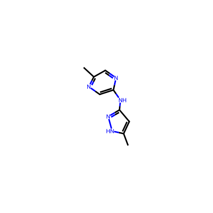 Cc1cnc(Nc2cc(C)[nH]n2)cn1